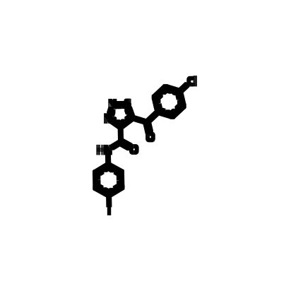 O=C(Nc1ccc(I)cc1)c1nnsc1C(=O)c1ccc(Cl)cc1